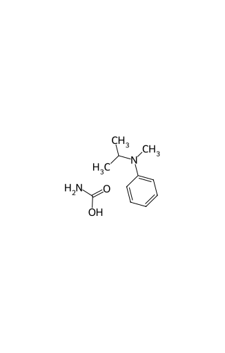 CC(C)N(C)c1ccccc1.NC(=O)O